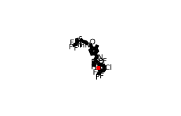 Cc1cc(C2=NO[C@](c3cc(C(F)(F)F)cc(Cl)c3F)(C(F)(F)F)C2)ccc1C(=O)NCc1nc(C(F)(F)F)cs1